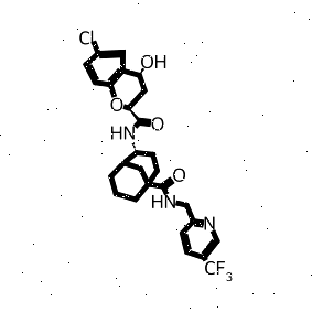 O=C(N[C@@H]1CCC2(C(=O)NCc3ccc(C(F)(F)F)cn3)CCCC1C2)[C@@H]1C[C@@H](O)c2cc(Cl)ccc2O1